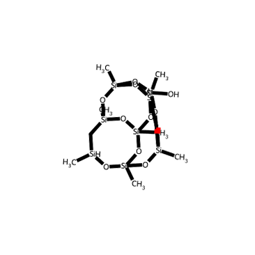 C[SiH]1C[Si]2(C)O[Si]3(C)O[SiH]4O[Si](C)(O[Si](C)(O)O3)O[Si](C)(O1)O[Si](C)(O4)O2